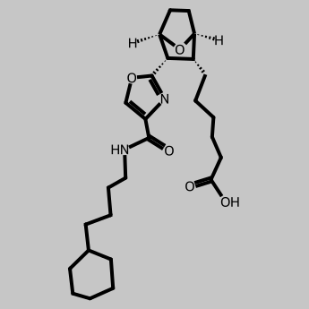 O=C(O)CCCCC[C@@H]1[C@H](c2nc(C(=O)NCCCCC3CCCCC3)co2)[C@H]2CC[C@@H]1O2